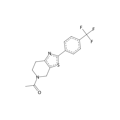 CC(=O)N1CCc2nc(-c3ccc(C(F)(F)F)cc3)sc2C1